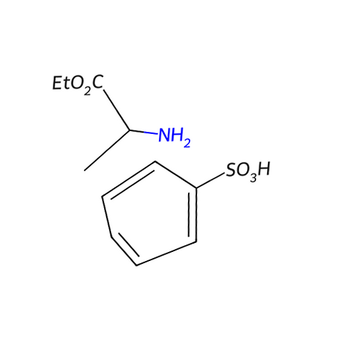 CCOC(=O)C(C)N.O=S(=O)(O)c1ccccc1